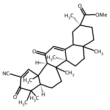 COC(=O)[C@@]1(C)CCC2(C)CC[C@]3(C)C(=CC(=O)[C@@H]4C5(C)C=C(C#N)C(=O)C(C)(C)[C@@H]5CCC43C)C2C1